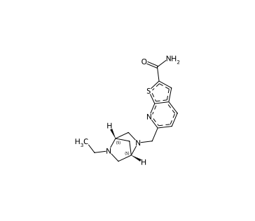 CCN1C[C@@H]2C[C@H]1CN2Cc1ccc2cc(C(N)=O)sc2n1